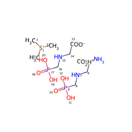 C[S+](C)C.N.O=C(O)CNCP(=O)(O)O.O=C([O-])CNCP(=O)(O)O